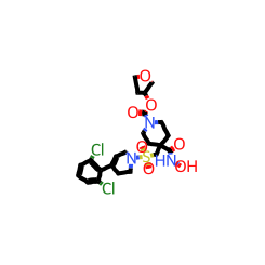 O=C(OC1CCOC1)N1CCC(CS(=O)(=O)N2CC=C(c3c(Cl)cccc3Cl)CC2)(C(=O)NO)CC1